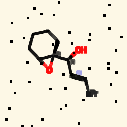 CCC/C=C/[C@H](O)[C@@]12CCCCC1O2